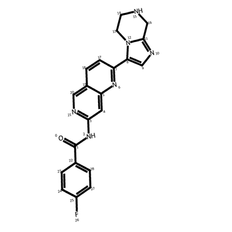 O=C(Nc1cc2nc(-c3cnc4n3CCNC4)ccc2cn1)c1ccc(F)cc1